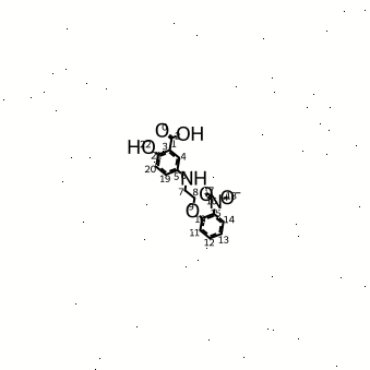 O=C(O)c1cc(NCCOc2ccccc2[N+](=O)[O-])ccc1O